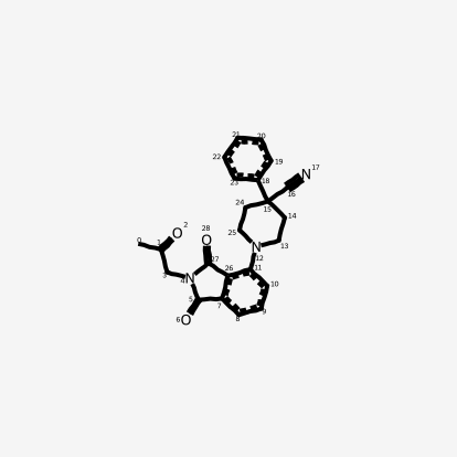 CC(=O)CN1C(=O)c2cccc(N3CCC(C#N)(c4ccccc4)CC3)c2C1=O